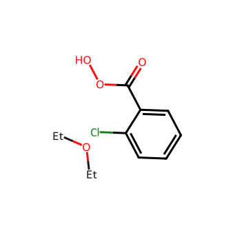 CCOCC.O=C(OO)c1ccccc1Cl